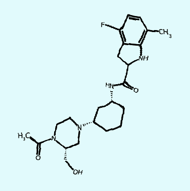 CC(=O)N1CCN([C@H]2CCC[C@@H](NC(=O)C3Cc4c(F)ccc(C)c4N3)C2)C[C@@H]1CO